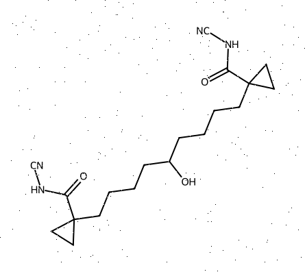 N#CNC(=O)C1(CCCCC(O)CCCCC2(C(=O)NC#N)CC2)CC1